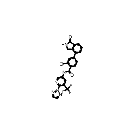 O=C(Nc1cnc(-n2nccn2)c(C(F)(F)F)c1)c1ccc(-c2cccc3c2CNC3=O)cc1Cl